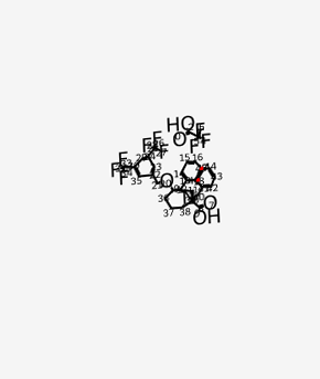 O=C(O)C(F)(F)F.O=C(O)C1CC2(c3ccccc3)C(OCc3cc(C(F)(F)F)cc(C(F)(F)F)c3)CCC1N2Cc1ccccc1